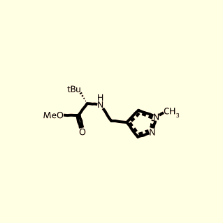 COC(=O)[C@@H](NCc1cnn(C)c1)C(C)(C)C